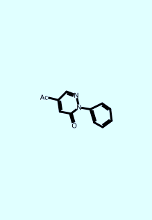 CC(=O)c1cnn(-c2ccccc2)c(=O)c1